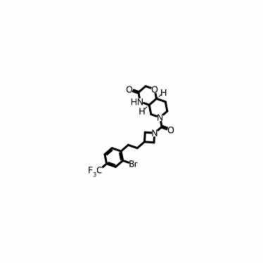 O=C1CO[C@H]2CCN(C(=O)N3CC(CCc4ccc(C(F)(F)F)cc4Br)C3)C[C@H]2N1